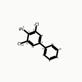 CC(C)c1c(Cl)cc(-c2ccccc2)cc1Cl